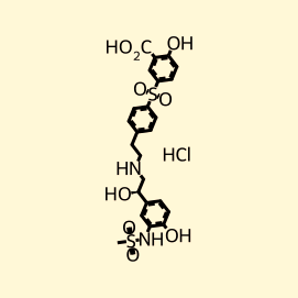 CS(=O)(=O)Nc1cc([C@@H](O)CNCCc2ccc(S(=O)(=O)c3ccc(O)c(C(=O)O)c3)cc2)ccc1O.Cl